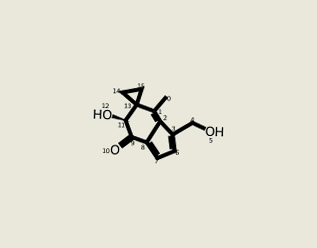 CC1=C2C(CO)=CC=C2C(=O)[C@@H](O)C12CC2